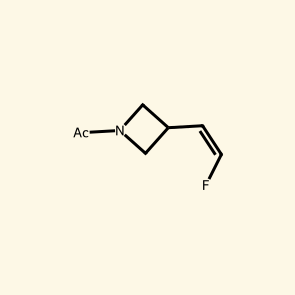 CC(=O)N1CC(/C=C\F)C1